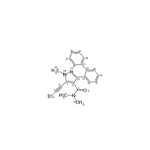 CCC#Cc1c(C(=O)N(C)C)c(-c2ccccc2-c2ccccc2)nn1C